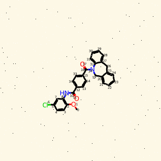 COc1ccc(Cl)cc1NC(=O)c1ccc(C(=O)N2Cc3ccccc3Cc3ccccc32)cc1